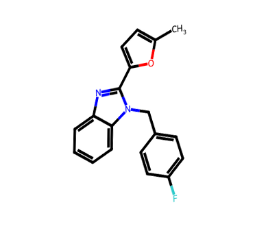 Cc1ccc(-c2nc3ccccc3n2Cc2ccc(F)cc2)o1